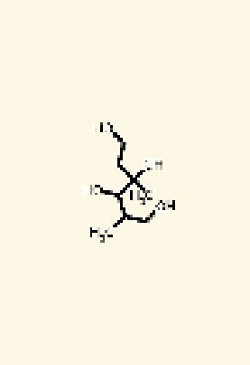 CC(CO)C(O)C(C)(O)CCO